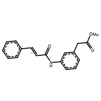 COC(=O)Cc1cccc(NC(=O)/C=C/c2ccccc2)c1